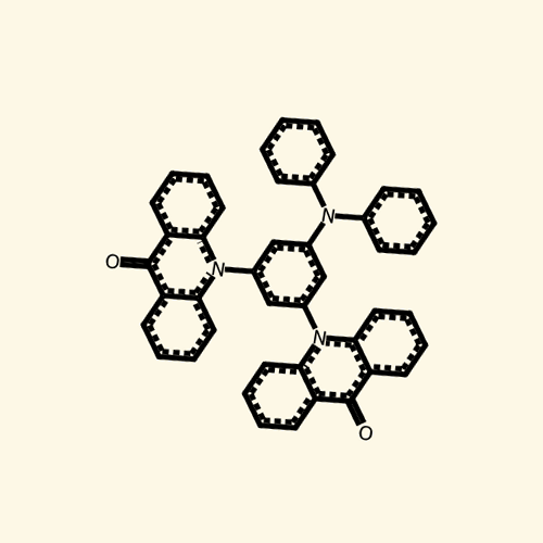 O=c1c2ccccc2n(-c2cc(N(c3ccccc3)c3ccccc3)cc(-n3c4ccccc4c(=O)c4ccccc43)c2)c2ccccc12